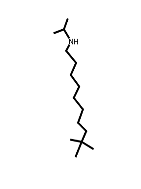 CC(C)NCCCCCCCCC(C)(C)C